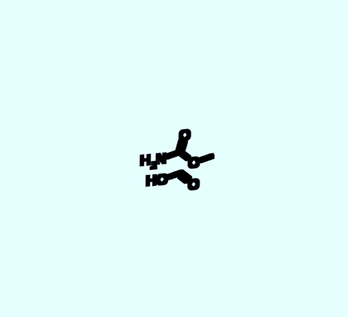 COC(N)=O.O=CO